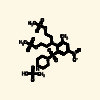 CS(=O)(=O)O.Cc1cc([N+](=O)[O-])cc(S(=O)(=O)N2CCNCC2)c1N(CCOS(C)(=O)=O)CCOS(C)(=O)=O